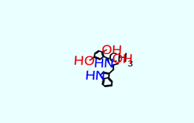 CC(NC(CO)Cc1c[nH]c2ccccc12)c1cc(O)ccc1O